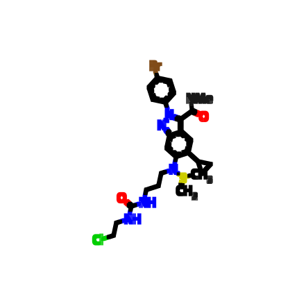 C=S(C)N(CCCNC(=O)NCCCl)c1cc2nn(-c3ccc(Br)cc3)c(C(=O)NC)c2cc1C1CC1